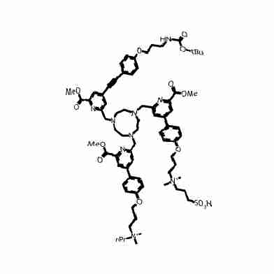 CCC[N+](C)(C)CCCOc1ccc(-c2cc(CN3CCN(Cc4cc(C#Cc5ccc(OCCCNC(=O)OC(C)(C)C)cc5)cc(C(=O)OC)n4)CCN(Cc4cc(-c5ccc(OCCC[N+](C)(C)CCCS(=O)(=O)O)cc5)cc(C(=O)OC)n4)CC3)nc(C(=O)OC)c2)cc1